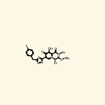 CCCCOC[C@@H](CC)n1cc(-c2nnc(Cc3ccc(F)cc3)s2)c(=O)c(O)c1C(=O)NC(C)C